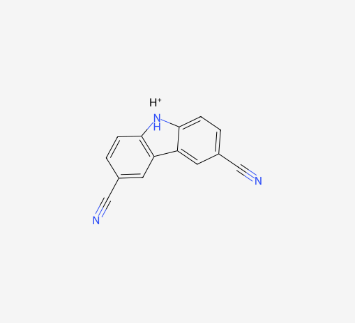 N#Cc1ccc2[nH]c3ccc(C#N)cc3c2c1.[H+]